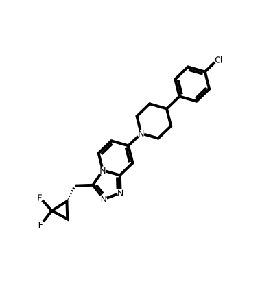 FC1(F)C[C@H]1Cc1nnc2cc(N3CCC(c4ccc(Cl)cc4)CC3)ccn12